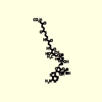 CC(C)(COP(=O)(O)OP(=O)(O)OC[C@H]1O[C@@H](n2cnc3c(N)ncnc32)[C@H](O)[C@@H]1OP(=O)(O)O)[C@@H](O)C(=O)NCCC(=O)NCCSC(=O)CCC(=O)CC(=O)O